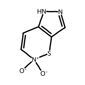 [O-][N+]1([O-])C=Cc2[nH]ncc2S1